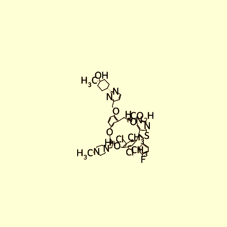 Cc1c(Cl)c2c(Cl)c(C)c1-c1c(-c3ccc(F)cc3)sc3ncnc(c13)O[C@@H](C(=O)O)Cc1cc(ccc1OCc1ccnc([C@H]3CC[C@](C)(O)CC3)n1)OC[C@@H](CN1CCN(C)CC1)O2